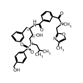 Cc1coc(CN(C)C(=O)c2cccc(C(=O)N[C@@H](Cc3ccccc3)[C@H](O)CN(CC(C)C)S(=O)(=O)c3ccc(CO)cc3)c2)n1